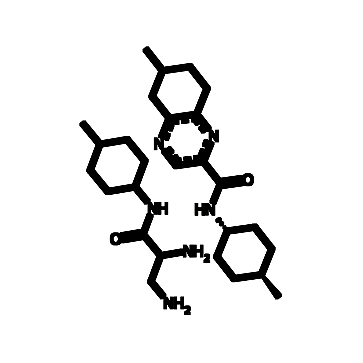 CC1CCC(NC(=O)C(N)CN)CC1.CC1CCc2nc(C(=O)N[C@H]3CC[C@H](C)CC3)cnc2C1